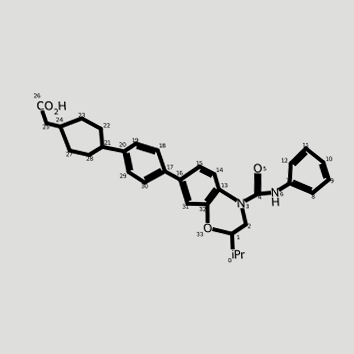 CC(C)C1CN(C(=O)Nc2ccccc2)c2ccc(-c3ccc(C4CCC(CC(=O)O)CC4)cc3)cc2O1